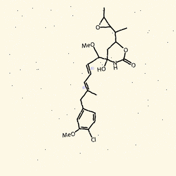 COc1cc(C/C(C)=C/C=C/C(OC)C2(O)CC(C(C)C3OC3C)OC(=O)N2)ccc1Cl